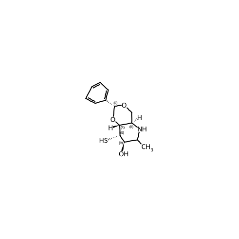 CC1N[C@@H]2CO[C@@H](c3ccccc3)O[C@H]2[C@@H](S)[C@@H]1O